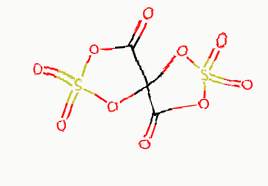 O=C1OS(=O)(=O)OC12OS(=O)(=O)OC2=O